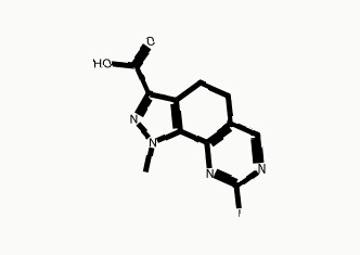 Cn1nc(C(=O)O)c2c1-c1nc(I)ncc1CC2